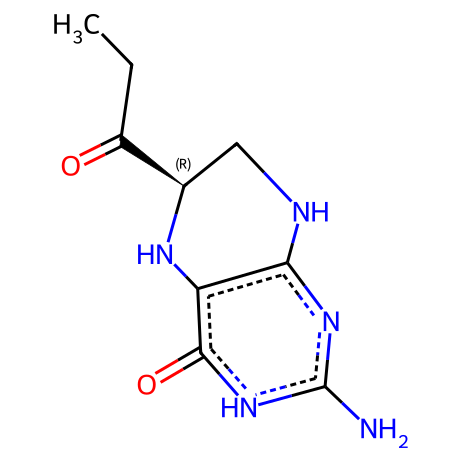 CCC(=O)[C@H]1CNc2nc(N)[nH]c(=O)c2N1